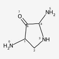 NC1CNC(N)C1=O